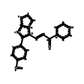 COc1ccc(-c2nc3sccn3c2/C=C/C(=O)c2ccncc2)cc1